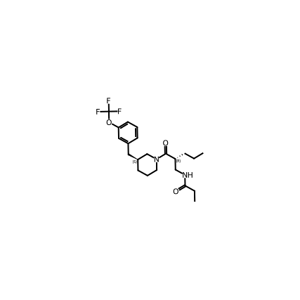 CCC[C@H](CNC(=O)CC)C(=O)N1CCC[C@@H](Cc2cccc(OC(F)(F)F)c2)C1